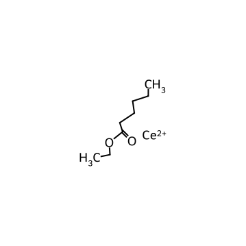 CCCCCC(=O)OCC.[Ce+2]